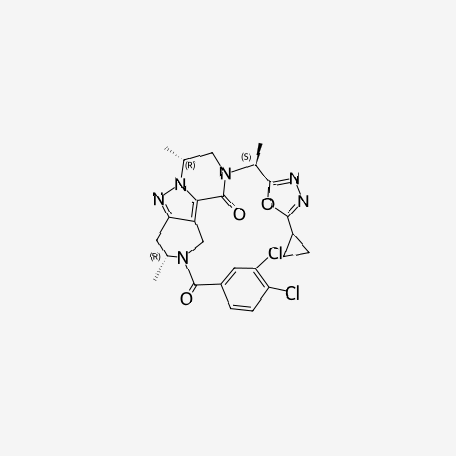 C[C@@H]1Cc2nn3c(c2CN1C(=O)c1ccc(Cl)c(Cl)c1)C(=O)N([C@@H](C)c1nnc(C2CC2)o1)C[C@H]3C